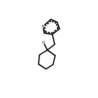 [O]C1(Cc2cccnc2)CCCCC1